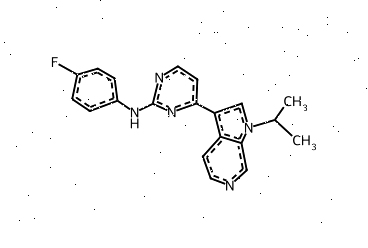 CC(C)n1cc(-c2ccnc(Nc3ccc(F)cc3)n2)c2ccncc21